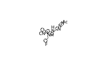 CC(=O)N1CCN(c2ccc(CNC(=O)c3ccc(-c4ccccc4C#N)nc3NCCc3cccc(F)c3)cn2)CC1